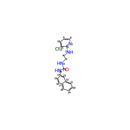 O=C(NCCNc1ncccc1Cl)Nc1ccc2ccccc2c1